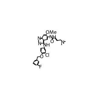 COc1cc2ncnc(Nc3ccc(OCc4cccc(F)c4)c(Cl)c3)c2cc1NC(=O)C=CCN(C)C